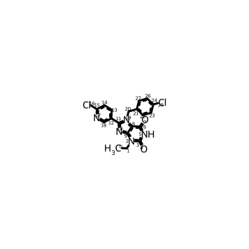 CCn1c(=O)[nH]c(=O)c2c1nc(-c1ccc(Cl)nc1)n2Cc1ccc(Cl)cc1